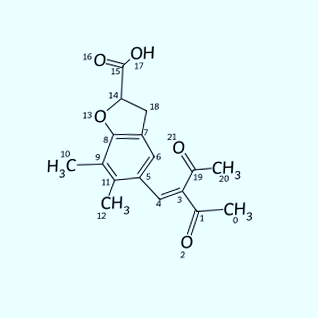 CC(=O)C(=Cc1cc2c(c(C)c1C)OC(C(=O)O)C2)C(C)=O